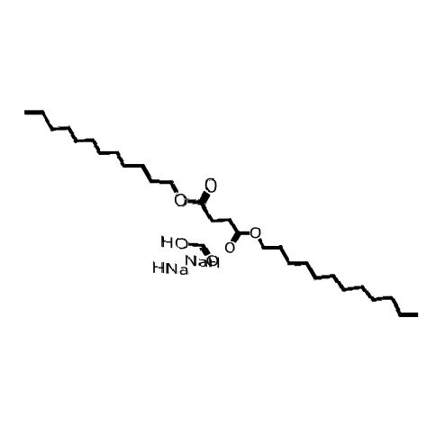 CCCCCCCCCCCCOC(=O)CCC(=O)OCCCCCCCCCCCC.O=CO.[NaH].[NaH]